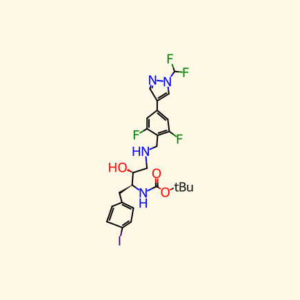 CC(C)(C)OC(=O)N[C@@H](Cc1ccc(I)cc1)[C@@H](O)CNCc1c(F)cc(-c2cnn(C(F)F)c2)cc1F